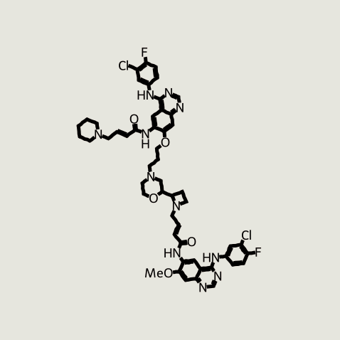 COc1cc2ncnc(Nc3ccc(F)c(Cl)c3)c2cc1NC(=O)/C=C/CN1CCC1C1CN(CCCOc2cc3ncnc(Nc4ccc(F)c(Cl)c4)c3cc2NC(=O)/C=C/CN2CCCCC2)CCO1